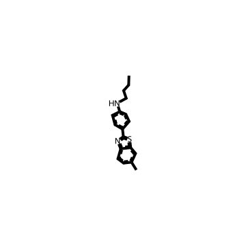 CCCCNc1ccc(-c2nc3ccc(C)cc3s2)cc1